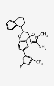 CN1OC2(CC(C3CCCc4ccccc43)Oc3ccc(-c4cc(F)cc(C(F)(F)F)c4)cc32)N=C1N